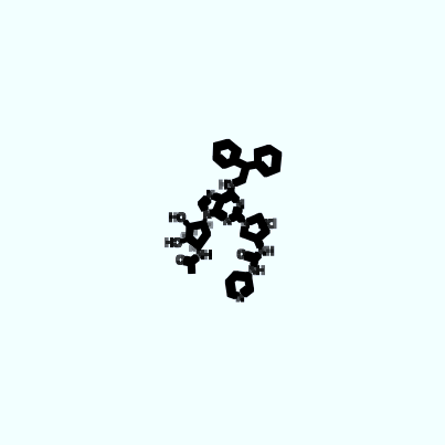 CC(=O)N[C@H]1C[C@@H](n2cnc3c(NCC(c4ccccc4)c4ccccc4)nc(N4CCC(NC(=O)Nc5cccnc5)C4)nc32)[C@H](O)[C@@H]1O.Cl